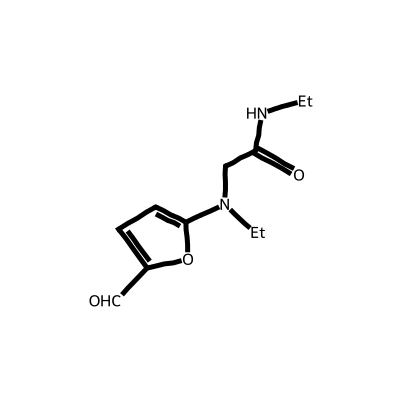 CCNC(=O)CN(CC)c1ccc(C=O)o1